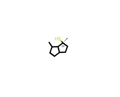 CC1CCC2CC[C@](C)(S)C12